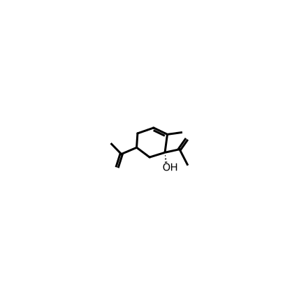 C=C(C)C1CC=C(C)[C@@](O)(C(=C)C)C1